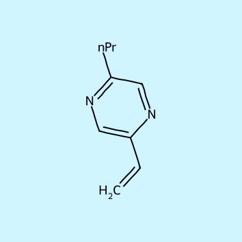 C=Cc1cnc(CCC)cn1